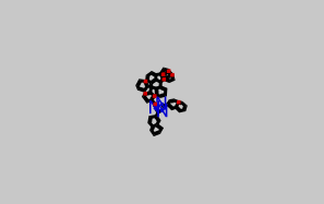 c1ccc(C2(c3cccc(-c4nc(-c5ccc6ccccc6c5)nc(-c5ccc6ccccc6c5)n4)c3)c3ccccc3C3(c4ccccc4)c4ccccc4-c4cccc2c43)cc1